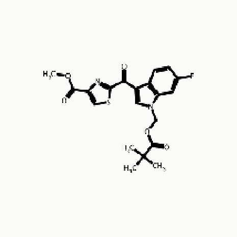 COC(=O)c1csc(C(=O)c2cn(COC(=O)C(C)(C)C)c3cc(F)ccc23)n1